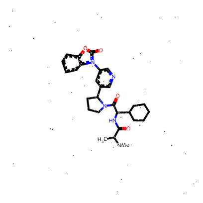 CNC(C)C(=O)NC(C(=O)N1CCCC1c1cncc(-n2c(=O)oc3ccccc32)c1)C1CCCCC1